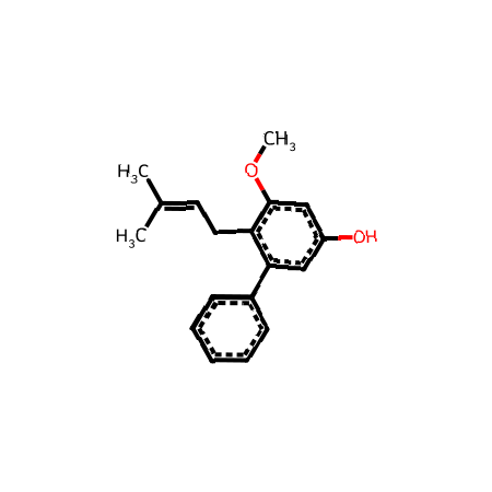 COc1cc(O)cc(-c2ccccc2)c1CC=C(C)C